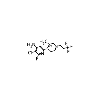 C[C@H]1CN(CCC(F)(F)F)CCN1c1cc(N)c(Cl)c(F)n1